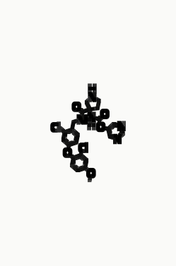 COc1ccc(Oc2ccc(CNC(=O)C3(NC(=O)Oc4cncnc4)CCNC3)c(Cl)c2)c(Cl)c1